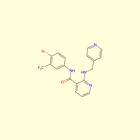 O=C(Nc1ccc(Br)c(C(F)(F)F)c1)c1cccnc1NCc1ccncc1